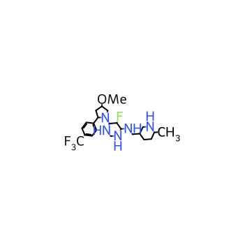 COC1CC(c2ccc(C(F)(F)F)cc2)N(C2NCNC(NCC3CCC(C)NC3)C2F)C1